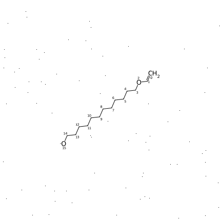 C=COCCCCCCCCCCCC[O]